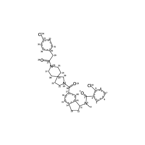 CN(C(=O)c1ccccc1Cl)C1CCc2ccc(C(=O)N3CCC4(CCN(C(=O)Cc5ccc(Cl)cc5)CC4)C3)cc21